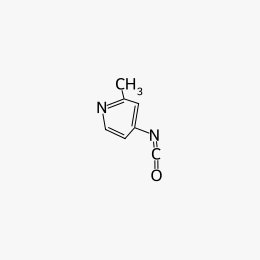 Cc1cc(N=C=O)ccn1